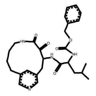 CC(C)CC(NC(=O)OCc1ccccc1)C(=O)NC1Cc2cncc(c2)CCCCNC(=O)C1=O